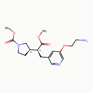 CC(C)(C)OC(=O)[C@@H](Cc1cncc(OCCN)c1)[C@H]1CCN(C(=O)OC(C)(C)C)C1